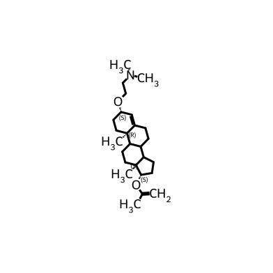 C=C(C)O[C@H]1CCC2C3CCC4=C[C@@H](OCCN(C)C)CC[C@]4(C)C3CC[C@@]21C